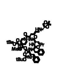 COC(=O)C1(NC(=O)OC(C)(C)C)CCN(C(=O)[C@@H](CCCCNC[C@@H]2COC(C)(C)O2)NC(=O)[C@@H](CC(C)C)NC(=O)[C@@H](Cc2ccccc2)NC(=O)[C@@H](Cc2ccccc2)NC(=O)OC(C)(C)C)CC1